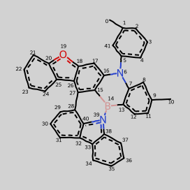 Cc1cccc(N2c3cc(C)ccc3B3c4c2cc2oc5ccccc5c2c4-c2cccc4c5ccccc5n3c24)c1